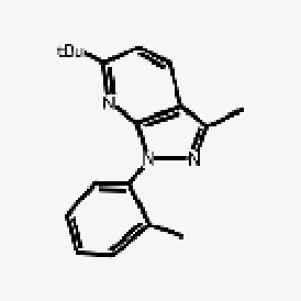 Cc1ccccc1-n1nc(C)c2ccc(C(C)(C)C)nc21